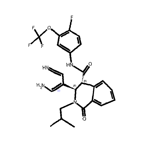 CC(C)CN1C(=O)c2ccccc2[C@@H](C(=O)Nc2ccc(F)c(OC(F)(F)F)c2)[C@@H]1/C(C=N)=C/N